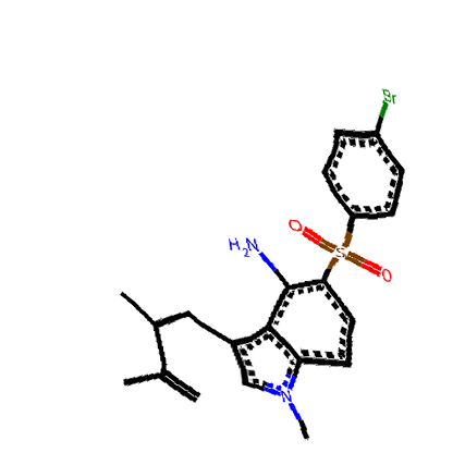 C=C(C)C(C)Cc1cn(C)c2ccc(S(=O)(=O)c3ccc(Br)cc3)c(N)c12